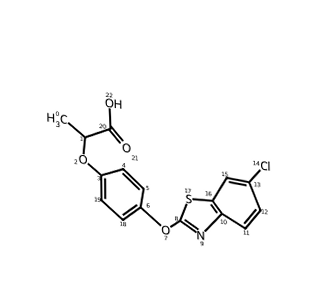 CC(Oc1ccc(Oc2nc3ccc(Cl)cc3s2)cc1)C(=O)O